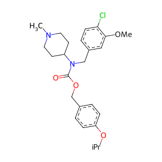 COc1cc(CN(C(=O)OCc2ccc(OC(C)C)cc2)C2CCN(C)CC2)ccc1Cl